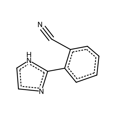 N#Cc1ccccc1-c1ncc[nH]1